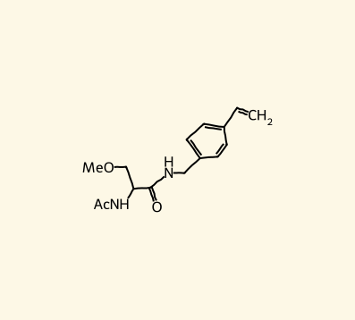 C=Cc1ccc(CNC(=O)C(COC)NC(C)=O)cc1